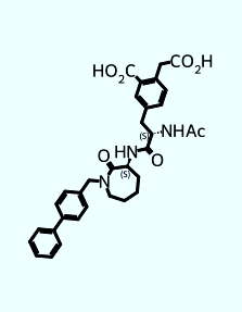 CC(=O)N[C@@H](Cc1ccc(CC(=O)O)c(C(=O)O)c1)C(=O)N[C@H]1CCCCN(Cc2ccc(-c3ccccc3)cc2)C1=O